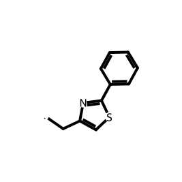 [CH2]Cc1csc(-c2ccccc2)n1